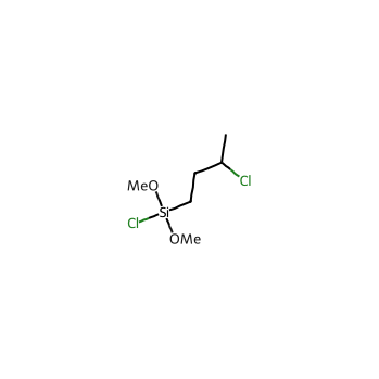 CO[Si](Cl)(CCC(C)Cl)OC